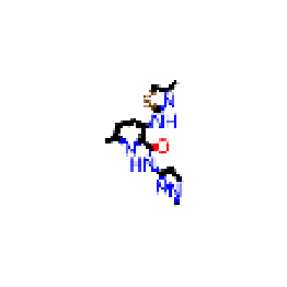 Cc1csc(Nc2ccc(C)nc2C(=O)Nc2ccn(C)n2)n1